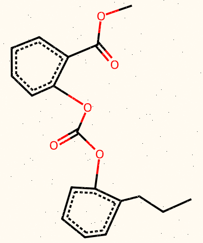 CCCc1ccccc1OC(=O)Oc1ccccc1C(=O)OC